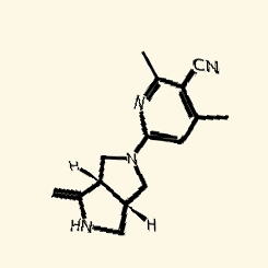 C=C1NC[C@H]2CN(c3cc(C)c(C#N)c(C)n3)C[C@@H]12